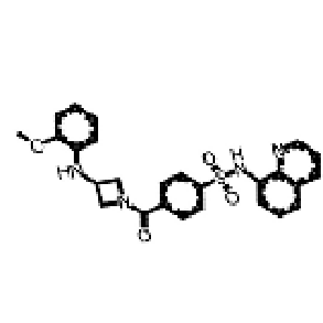 COc1ccccc1NC1CN(C(=O)c2ccc(S(=O)(=O)Nc3cccc4cccnc34)cc2)C1